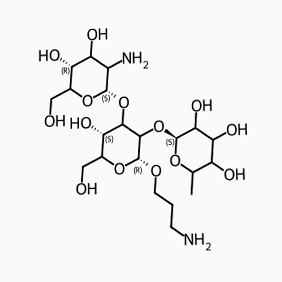 CC1O[C@@H](OC2C(O[C@@H]3OC(CO)[C@H](O)C(O)C3N)[C@@H](O)C(CO)O[C@H]2OCCCN)C(O)C(O)C1O